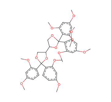 COc1ccc(C2(c3ccc(OC)cc3OC)OCC(C3COC(c4c(OC)cc(OC)cc4OC)(c4c(OC)cc(OC)cc4OC)O3)O2)c(OC)c1